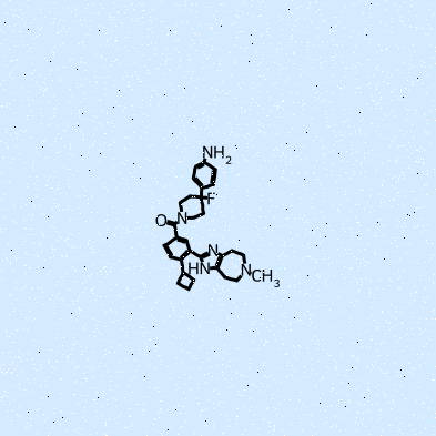 CN1CCc2nc(-c3cc(C(=O)N4CCC(F)(c5ccc(N)cc5)CC4)ccc3C3CCC3)[nH]c2CC1